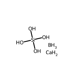 B.O[Si](O)(O)O.[CaH2]